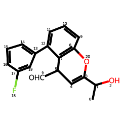 CC(O)C1=CC(C=O)c2c(cccc2-c2cccc(F)c2)O1